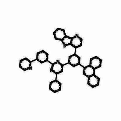 c1ccc(-c2cc(-c3cc(-c4cc5ccccc5c5ccccc45)cc(-c4ccnc5c4sc4ccccc45)c3)nc(-c3cccc(-c4ccccn4)c3)n2)cc1